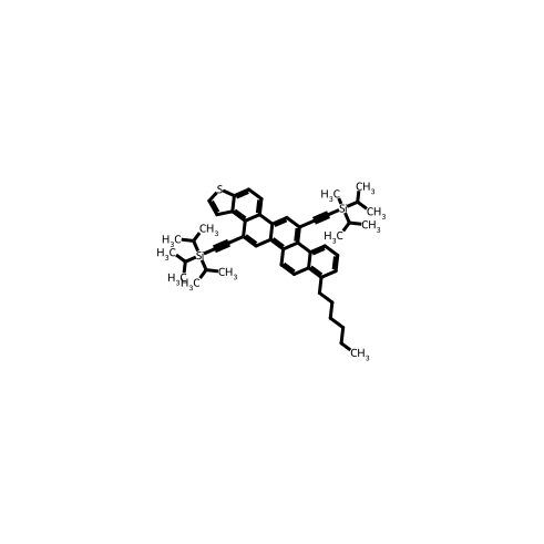 CCCCCCc1cccc2c1ccc1c3cc(C#C[Si](C(C)C)(C(C)C)C(C)C)c4c5ccsc5ccc4c3cc(C#C[Si](C)(C(C)C)C(C)C)c21